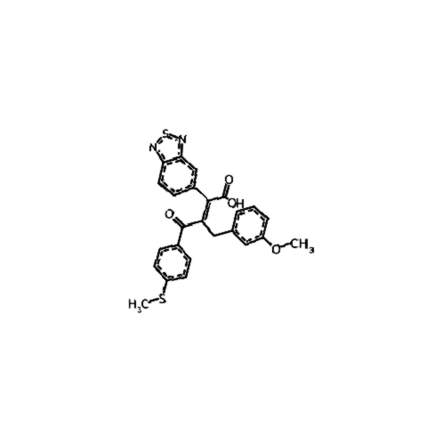 COc1cccc(C/C(C(=O)c2ccc(SC)cc2)=C(\C(=O)O)c2ccc3nsnc3c2)c1